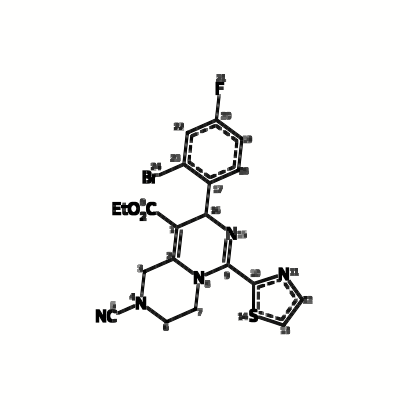 CCOC(=O)C1=C2CN(C#N)CCN2C(c2nccs2)=NC1c1ccc(F)cc1Br